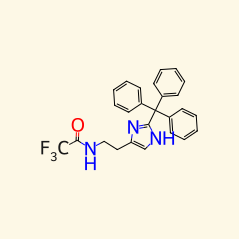 O=C(NCCc1c[nH]c(C(c2ccccc2)(c2ccccc2)c2ccccc2)n1)C(F)(F)F